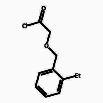 CCc1ccccc1COCC(=O)Cl